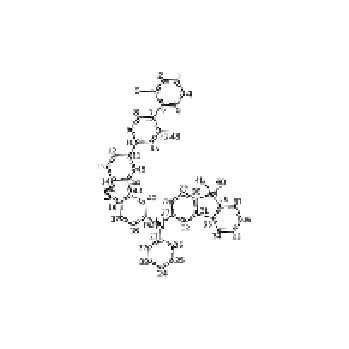 Cc1ccccc1-c1ccc(-c2ccc3sc4ccc(N(c5ccccc5)c5ccc6c(c5)-c5ccccc5C6(C)C)cc4c3c2)cc1C